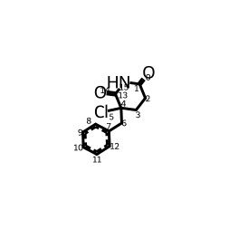 O=C1CCC(Cl)(Cc2ccccc2)C(=O)N1